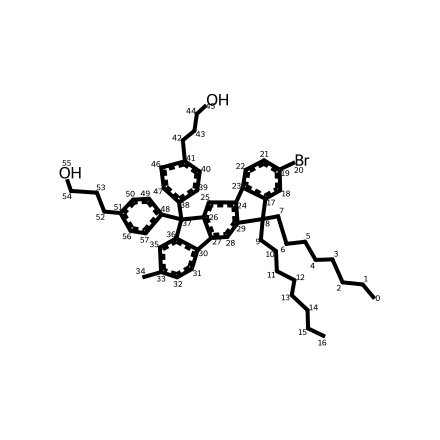 CCCCCCCCC1(CCCCCCCC)c2cc(Br)ccc2-c2cc3c(cc21)-c1ccc(C)cc1C3(c1ccc(CCCO)cc1)c1ccc(CCCO)cc1